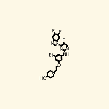 CCc1cc(Nc2ncc(F)c(-n3cnc4cc(F)c(F)cc43)n2)cc(OCCN2CCC(O)CC2)c1